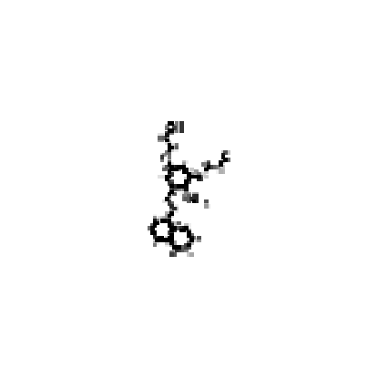 Nc1c(CCc2cccc3ccccc23)cc(OCCO)cc1OCCCl